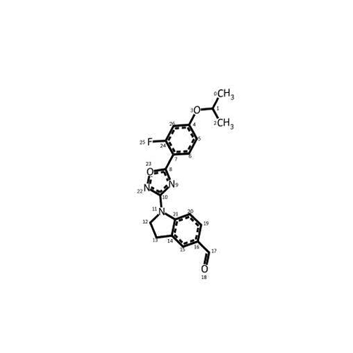 CC(C)Oc1ccc(-c2nc(N3CCc4cc(C=O)ccc43)no2)c(F)c1